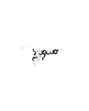 CC(C)CC(N)C(=O)c1c(CC(C(=O)O)N(C(=O)C(N)CCC(=O)O)C(=O)C2CCCN2)cccc1C(=O)C(N)Cc1ccc(O)cc1